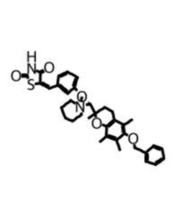 Cc1c(C)c2c(c(C)c1OCc1ccccc1)CCC(C)(C[N+]1(Oc3cccc(C=C4SC(=O)NC4=O)c3)CCCCC1)O2